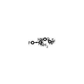 Nc1nc(C#Cc2ccc(F)cc2)cc(Nc2ccc(Oc3ccnc(C(F)(F)F)c3)cc2)n1